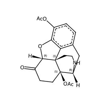 CC(=O)Oc1ccc2c3c1O[C@H]1C(=O)CC[C@@]4(OC(C)=O)[C@@H](C2)NCC[C@]314